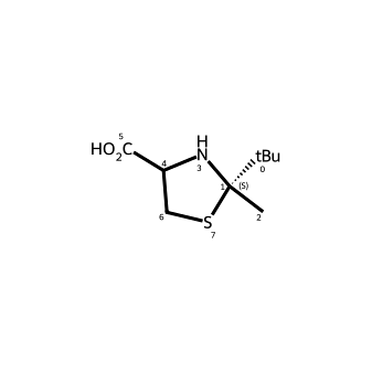 CC(C)(C)[C@@]1(C)NC(C(=O)O)CS1